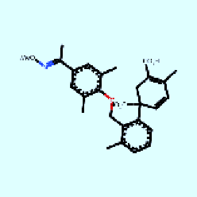 CON=C(C)c1cc(C)c(OCc2c(C)cccc2C2(C(=O)O)C=CC(C)=C(C(=O)O)C2)c(C)c1